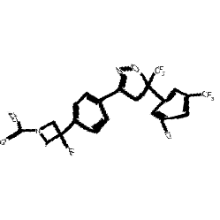 CCC(=O)N1CC(F)(c2ccc(C3=NOC(c4cc(Cl)cc(C(F)(F)F)c4)(C(F)(F)F)C3)cc2)C1